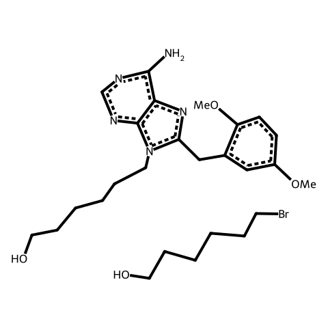 COc1ccc(OC)c(Cc2nc3c(N)ncnc3n2CCCCCCO)c1.OCCCCCCBr